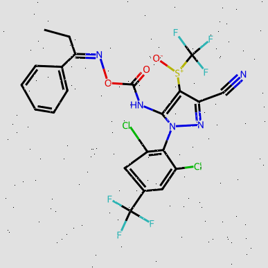 CCC(=NOC(=O)Nc1c([S+]([O-])C(F)(F)F)c(C#N)nn1-c1c(Cl)cc(C(F)(F)F)cc1Cl)c1ccccc1